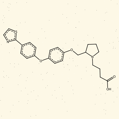 O=C(O)CCCN1CCCC1COc1ccc(Oc2ccc(-c3nccs3)cc2)cc1